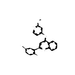 CCOc1cc(Nc2cc(-c3cc(Cl)ccc3F)nc3ccccc23)ccn1